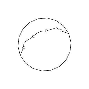 C1CCCCC2CCCCCCCCC(CCC1)CCCCCCCC2